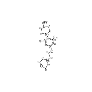 CC(C)N1CCN(c2c(F)cc(OCCN3CCOCC3)cc2F)CC1